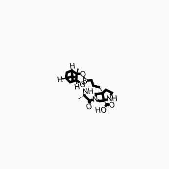 C[C@H](N)C(=O)N1C[C@@]2(CCCB3O[C@@H]4C[C@@H]5C[C@@H](C5(C)C)[C@]4(C)O3)CCN[C@@]2(C(=O)O)C1